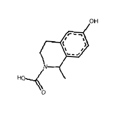 CC1c2ccc(O)cc2CCN1C(=O)O